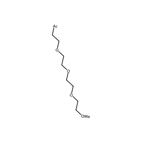 COCCOCCOCCOCCC(C)=O